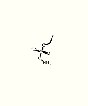 CCOP(=O)(O)ON